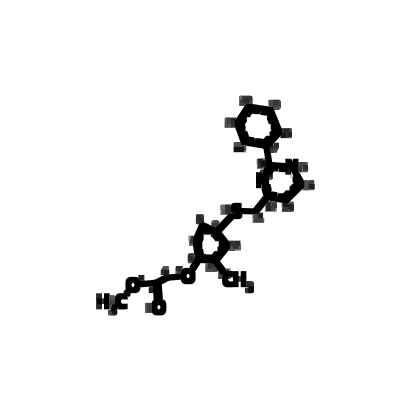 COC(=O)COc1ccc(SCc2ccnc(-c3ccccc3)n2)cc1C